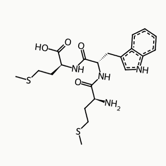 CSCC[C@H](NC(=O)[C@H](Cc1c[nH]c2ccccc12)NC(=O)[C@@H](N)CCSC)C(=O)O